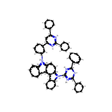 c1ccc(-c2cc(-c3cccc(-n4c5ccccc5c5c6c7ccccc7n(-c7nc(-c8ccccc8)nc(-c8ccccc8)n7)c6ccc54)c3)nc(-c3ccccc3)n2)cc1